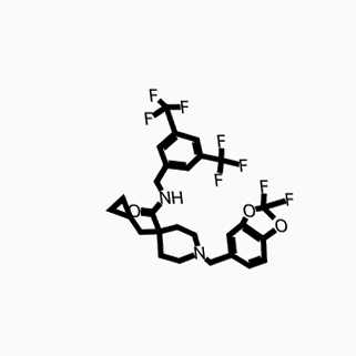 O=C(NCc1cc(C(F)(F)F)cc(C(F)(F)F)c1)C1(CC2CC2)CCN(Cc2ccc3c(c2)OC(F)(F)O3)CC1